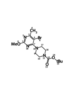 COc1nc(C)c(Br)c(N2CCN(C(=O)OC(C)(C)C)CC2)n1